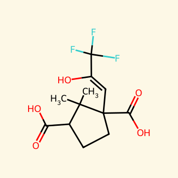 CC1(C)C(C(=O)O)CCC1(C=C(O)C(F)(F)F)C(=O)O